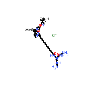 COc1ccc(C(=O)N(CC(C)(C)CCCCCCCCCCCCCCCCCCCC(=O)NCC[N+](C)(CCC(=O)NCCN)CCC(=O)NCCN)c2cccc(C)n2)c(N2CCC(COc3cc(C(CC(=O)O)C4CC4)ccn3)CC2)c1.[Cl-]